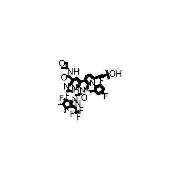 C[C@@H]1c2c(C(F)(F)F)nn(CC(=O)N[C@@H](Cc3cc(F)cc(F)c3)c3nc(C#CC(C)(C)O)ccc3-c3cc(C(=O)NC4COC4)c4nccn4c3)c2C(F)(F)[C@@H]1C